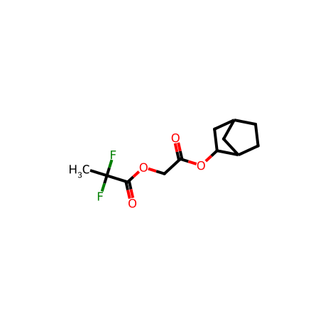 CC(F)(F)C(=O)OCC(=O)OC1CC2CCC1C2